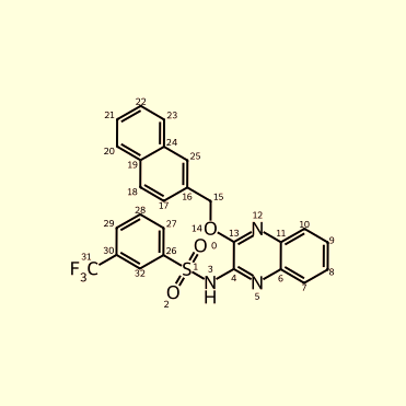 O=S(=O)(Nc1nc2ccccc2nc1OCc1ccc2ccccc2c1)c1cccc(C(F)(F)F)c1